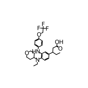 CCC(CC(=O)O)c1ccc(N(CC)C2CCOCC2)c(Nc2ccc(OCC(F)(F)F)cc2)c1